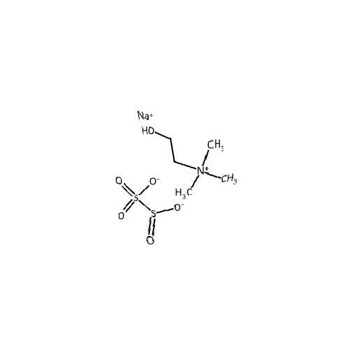 C[N+](C)(C)CCO.O=S([O-])S(=O)(=O)[O-].[Na+]